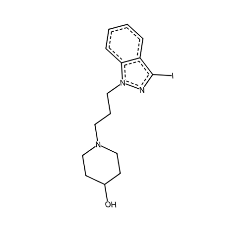 OC1CCN(CCCn2nc(I)c3ccccc32)CC1